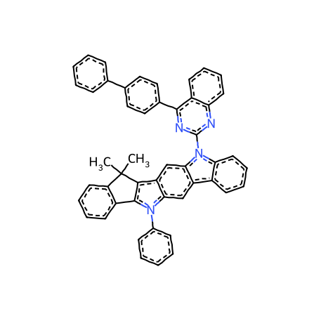 CC1(C)c2ccccc2-c2c1c1cc3c(cc1n2-c1ccccc1)c1ccccc1n3-c1nc(-c2ccc(-c3ccccc3)cc2)c2ccccc2n1